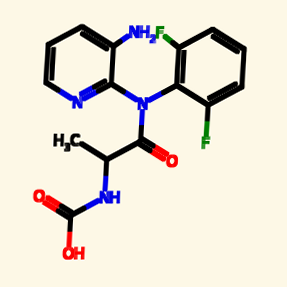 CC(NC(=O)O)C(=O)N(c1ncccc1N)c1c(F)cccc1F